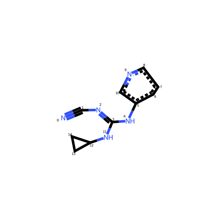 N#CN=C(Nc1cccnc1)NC1CC1